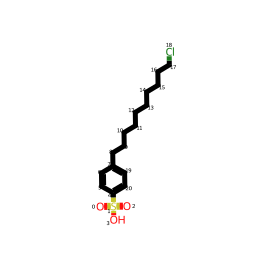 O=S(=O)(O)c1ccc(CCCCCCCCCCCl)cc1